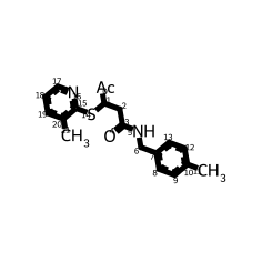 CC(=O)C(CC(=O)NCc1ccc(C)cc1)Sc1ncccc1C